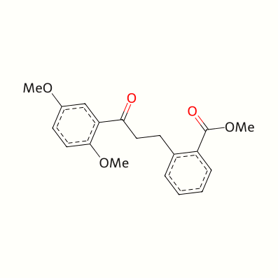 COC(=O)c1ccccc1CCC(=O)c1cc(OC)ccc1OC